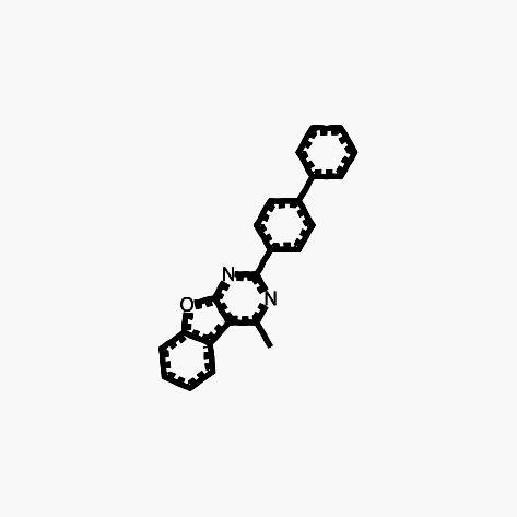 Cc1nc(-c2ccc(-c3ccccc3)cc2)nc2oc3ccccc3c12